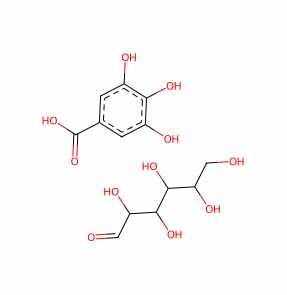 O=C(O)c1cc(O)c(O)c(O)c1.O=CC(O)C(O)C(O)C(O)CO